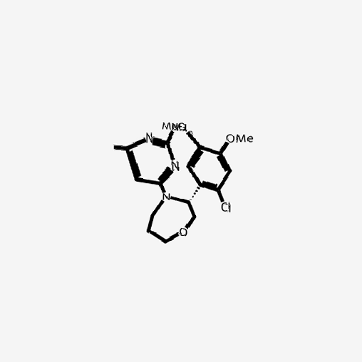 COc1cc(Cl)c([C@@H]2COCCCN2c2cc(C)nc(N)n2)cc1OC